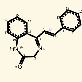 O=C1CN=C(/C=C/c2ccccc2)c2ccccc2N1